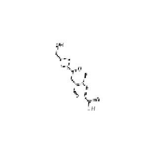 O=C(O)c1ccc(CC(=O)N2CC(CO)C2)c(F)c1